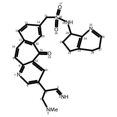 CNCC(C=N)c1cnc2ccc3ccc(CS(=O)(=O)NC4CCC5=C4N=CCC5)cc3c(=O)c2c1